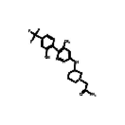 Cc1cc(NC2CCCN(CC(N)=O)C2)nnc1-c1ncc(C(F)(F)F)cc1O